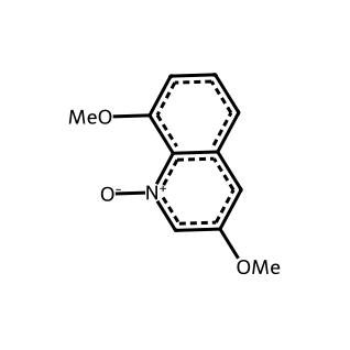 COc1cc2cccc(OC)c2[n+]([O-])c1